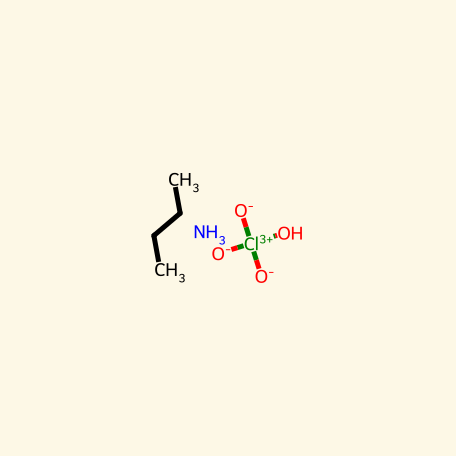 CCCC.N.[O-][Cl+3]([O-])([O-])O